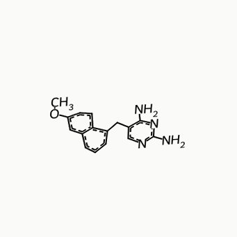 COc1ccc2c(Cc3cnc(N)nc3N)cccc2c1